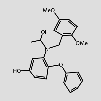 COc1ccc(OC)c(CN(c2cc(O)ccc2Oc2ccccc2)C(C)O)c1